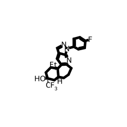 CC[C@@]12CC[C@@](O)(C(F)(F)F)C[C@H]1CCCc1nc3c(cnn3-c3ccc(F)cc3)cc12